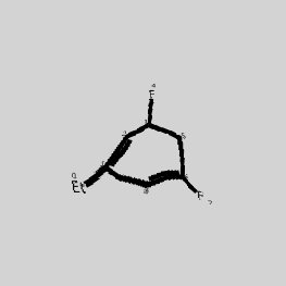 CCC1=CC(F)CC(F)=C1